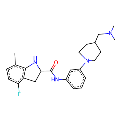 Cc1ccc(F)c2c1NC(C(=O)Nc1cccc(N3CCC(CN(C)C)CC3)c1)C2